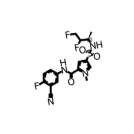 C[C@@H](NS(=O)(=O)c1cc(C(=O)Nc2ccc(F)c(C#N)c2)n(C)c1)C(F)CF